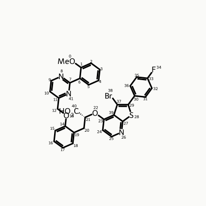 COc1ccccc1-c1nccc(COc2ccccc2C[C@@H](Oc2ccnc3sc(-c4ccc(F)cc4)c(Br)c23)C(=O)O)n1